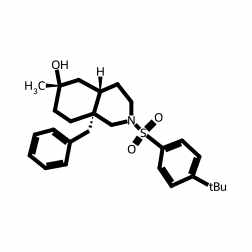 CC(C)(C)c1ccc(S(=O)(=O)N2CC[C@H]3C[C@@](C)(O)CC[C@]3(Cc3ccccc3)C2)cc1